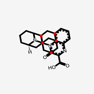 O=C(O)c1nc2ccccc2n(C2CC3CCC[C@H](C2)N3C23CCCC(CCC2)C3)c1=O